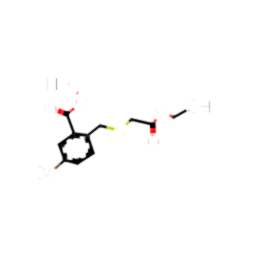 CCOC(=O)CSCc1ccc(Br)cc1C(=O)OC